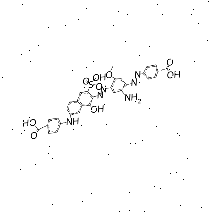 COc1cc(/N=N/c2ccc(C(=O)O)cc2)c(N)cc1/N=N/c1c(S(=O)(=O)O)cc2ccc(Nc3ccc(C(=O)O)cc3)cc2c1O